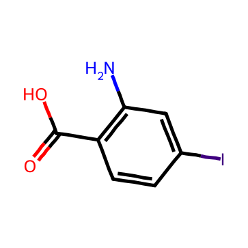 Nc1cc(I)ccc1C(=O)O